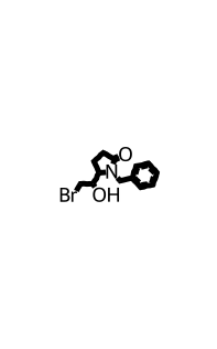 O=C1CCC(C(O)CBr)N1Cc1ccccc1